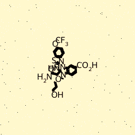 CN1c2ccc(C(=O)O)cc2NC1(Nc1nc2ccc(OC(F)(F)F)cc2s1)C(OCCCO)C(N)=O